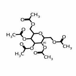 CC(=O)OCC1OC(COC(C)=O)[C@@H](OC(C)=O)C(OC(C)=O)C1OC(C)=O